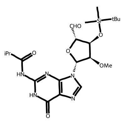 CO[C@@H]1[C@H](O[Si](C)(C)C(C)(C)C)[C@@H](C=O)O[C@H]1n1cnc2c(=O)[nH]c(NC(=O)C(C)C)nc21